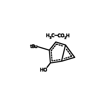 CC(=O)O.CC(C)(C)c1cc2cc-2c1O